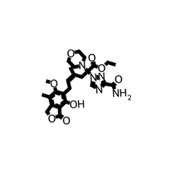 CCOC(=O)C(CC(C)=CCc1c(O)c2c(c(C)c1OC)COC2=O)(N1CCOCC1)n1cnc(C(N)=O)n1